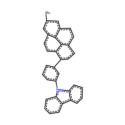 CC(C)(C)c1cc2ccc3ccc(-c4cccc(-n5c6ccccc6c6ccccc65)c4)c4ccc(c1)c2c34